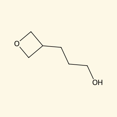 OCCCC1COC1